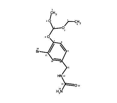 CCOC(OC)Oc1ccc(CNC(N)=O)cc1Br